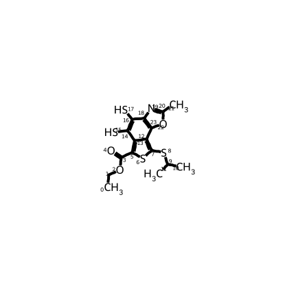 CCOC(=O)c1sc(SC(C)C)c2c1c(S)c(S)c1nc(C)oc12